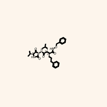 CC(C)C[C@@H](C(=O)NN1C(=O)N[C@@H](C(C)C)C1=O)[C@H](CCCc1ccccc1)C(=O)NOCc1ccccc1